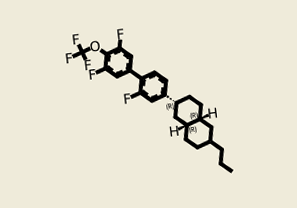 CCCC1CC[C@@H]2C[C@H](c3ccc(-c4cc(F)c(OC(F)(F)F)c(F)c4)c(F)c3)CC[C@@H]2C1